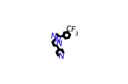 FC(F)(F)c1cccc(-c2cnc3ccc(-c4ccncc4)nn23)c1